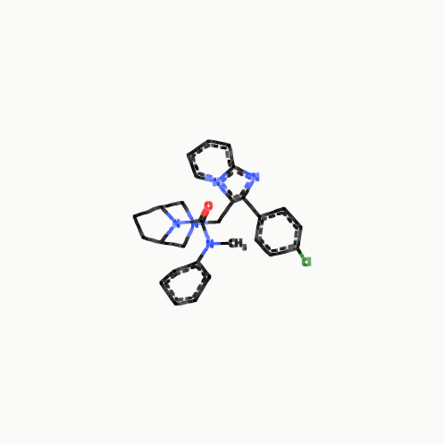 CN(C(=O)N1C2CCC1CN(Cc1c(-c3ccc(Cl)cc3)nc3ccccn13)C2)c1ccccc1